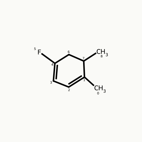 CC1=CC=C(F)CC1C